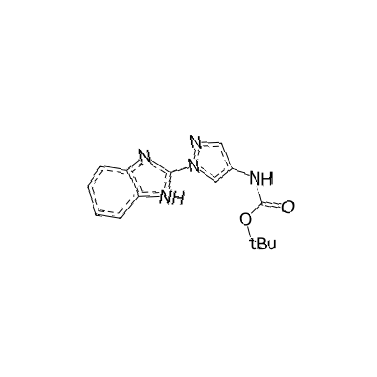 CC(C)(C)OC(=O)Nc1cnn(-c2nc3ccccc3[nH]2)c1